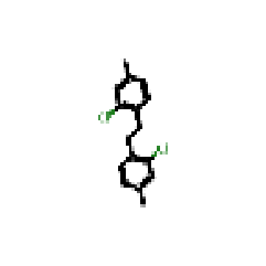 Cc1ccc(CCc2ccc(C)cc2Cl)c(Cl)c1